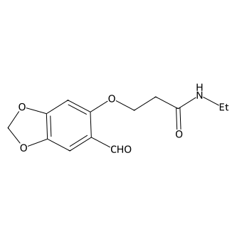 CCNC(=O)CCOc1cc2c(cc1C=O)OCO2